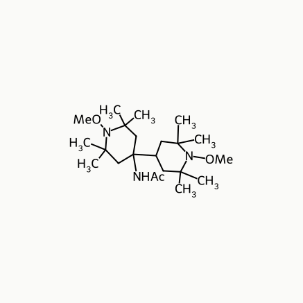 CON1C(C)(C)CC(C2(NC(C)=O)CC(C)(C)N(OC)C(C)(C)C2)CC1(C)C